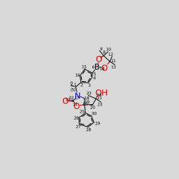 C[C@@H](c1ccc(B2OC(C)(C)C(C)(C)O2)cc1)N1C[C@](CC(C)(C)O)(c2ccccc2)OC1=O